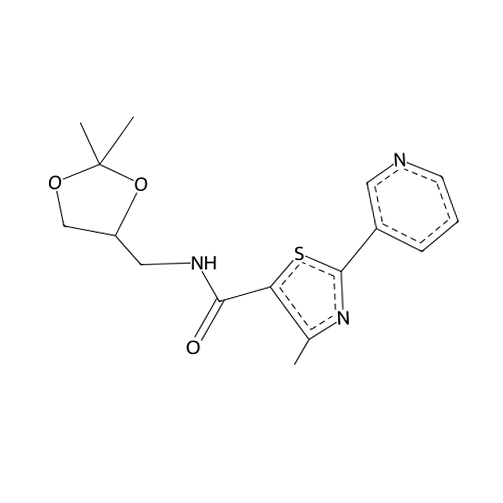 Cc1nc(-c2cccnc2)sc1C(=O)NCC1COC(C)(C)O1